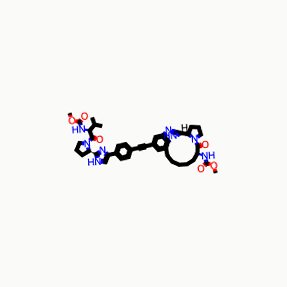 COC(=O)N[C@H]1CCCCCc2cc(C#Cc3ccc(-c4c[nH]c([C@@H]5CCCN5C(=O)[C@@H](NC(=O)OC)C(C)C)n4)cc3)cc3nc([nH]c23)[C@@H]2CCCN2C1=O